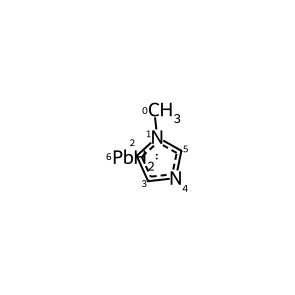 Cn1ccnc1.[PbH2]